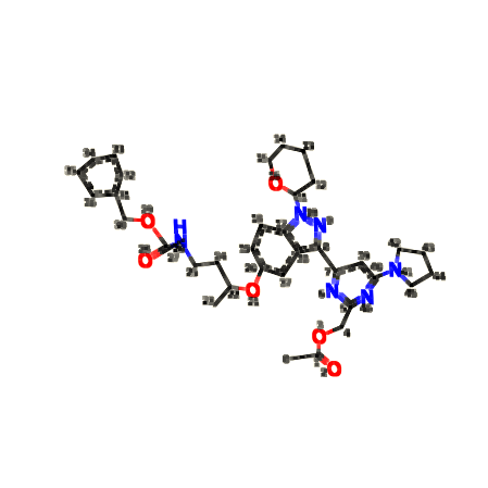 CC(=O)OCc1nc(-c2nn(C3CCCCO3)c3ccc(OC(C)CCNC(=O)OCc4ccccc4)cc23)cc(N2CCCC2)n1